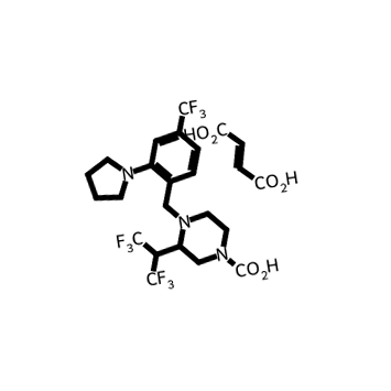 O=C(O)/C=C/C(=O)O.O=C(O)N1CCN(Cc2ccc(C(F)(F)F)cc2N2CCCC2)C(C(C(F)(F)F)C(F)(F)F)C1